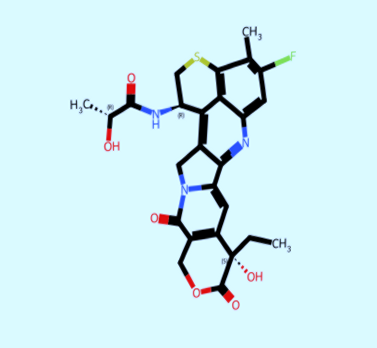 CC[C@@]1(O)C(=O)OCc2c1cc1n(c2=O)Cc2c-1nc1cc(F)c(C)c3c1c2[C@@H](NC(=O)[C@@H](C)O)CS3